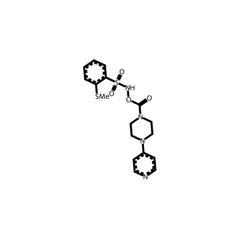 CSc1ccccc1S(=O)(=O)NOC(=O)N1CCN(c2ccncc2)CC1